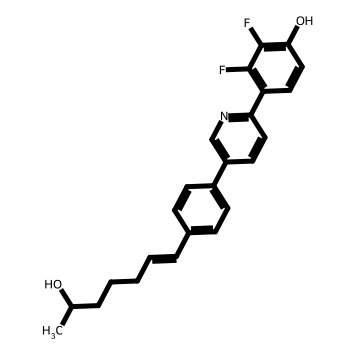 CC(O)CCC/C=C/c1ccc(-c2ccc(-c3ccc(O)c(F)c3F)nc2)cc1